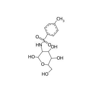 Cc1ccc(S(=O)(=O)NC2C(O)OC(CO)C(O)C2O)cc1